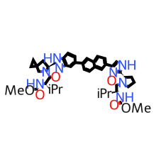 COC(=O)N[C@H](C(=O)N1CCC[C@H]1c1nc(-c2ccc3cc(-c4ccc5[nH]c([C@@H]6CC7(CC7)CN6C(=O)[C@@H](NC(=O)OC)C(C)C)nc5c4)ccc3c2)c[nH]1)C(C)C